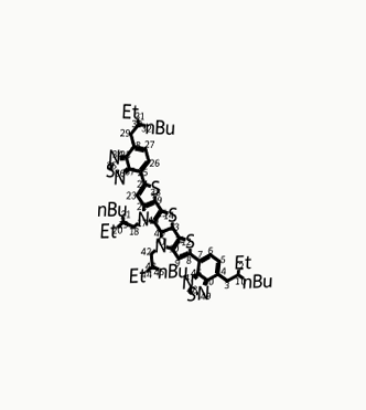 CCCCC(CC)Cc1ccc(-c2cc3c(s2)C2Sc4c(n(CC(CC)CCCC)c5cc(-c6ccc(CC(CC)CCCC)c7nsnc67)sc45)C2N3CC(CC)CCCC)c2nsnc12